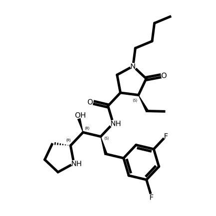 CCCCN1CC(C(=O)N[C@@H](Cc2cc(F)cc(F)c2)[C@H](O)[C@H]2CCCN2)[C@H](CC)C1=O